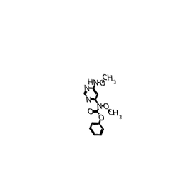 CONc1cc(N(OC)C(=O)Oc2ccccc2)ncn1